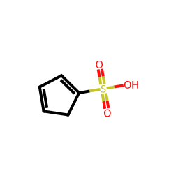 O=S(=O)(O)C1=CC=CC1